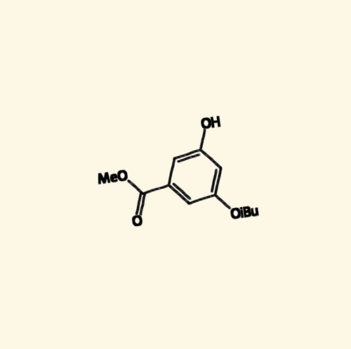 COC(=O)c1cc(O)cc(OCC(C)C)c1